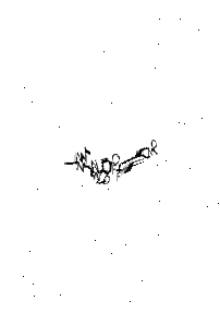 CC(=O)N1CCC(C(Oc2ccc3c(c2)OCCn2cc(-c4nc(C)nn4C(C)C)nc2-3)C(F)(F)F)CC1